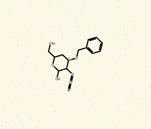 CC(=O)OCC1C[C@@H](OCc2ccccc2)C(N=[N+]=[N-])C(O)O1